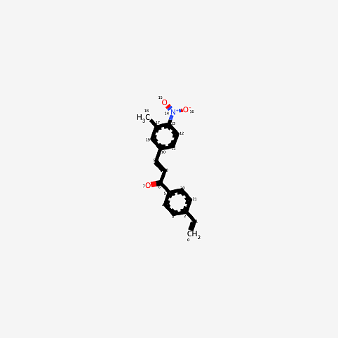 C=Cc1ccc(C(=O)C=Cc2ccc([N+](=O)[O-])c(C)c2)cc1